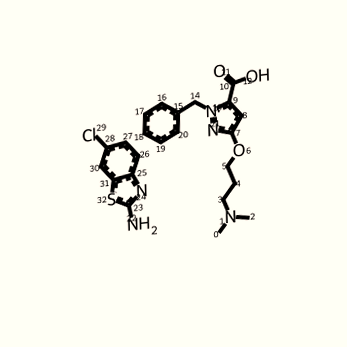 CN(C)CCCOc1cc(C(=O)O)n(Cc2ccccc2)n1.Nc1nc2ccc(Cl)cc2s1